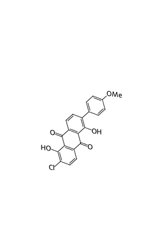 COc1ccc(-c2ccc3c(c2O)C(=O)c2ccc(Cl)c(O)c2C3=O)cc1